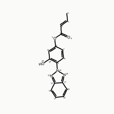 CC=CC(=O)Oc1ccc(-n2nc3ccccc3n2)c(O)c1